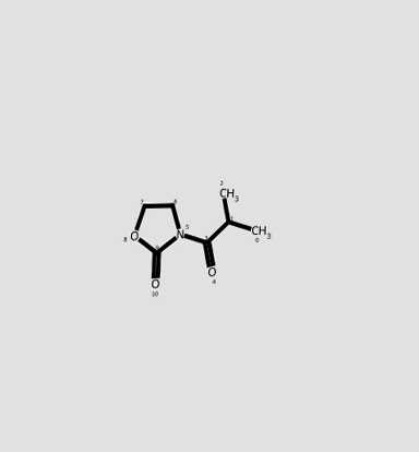 CC(C)C(=O)N1CCOC1=O